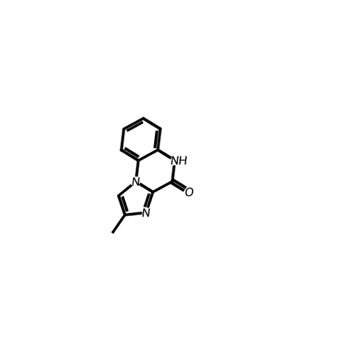 Cc1cn2c(n1)c(=O)[nH]c1ccccc12